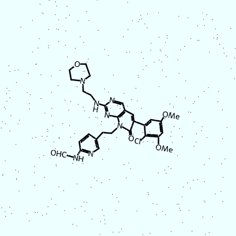 COc1cc(OC)c(Cl)c(-c2cc3cnc(NCCN4CCOCC4)nc3n(CCc3ccc(NC=O)nc3)c2=O)c1